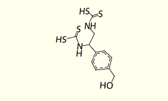 OCc1ccc(C(CNC(=S)S)NC(=S)S)cc1